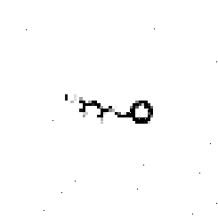 O=C(CC(P)Br)OCc1ccccc1